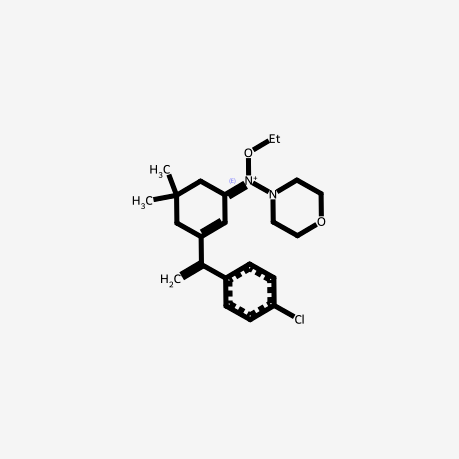 C=C(C1=C/C(=[N+](/OCC)N2CCOCC2)CC(C)(C)C1)c1ccc(Cl)cc1